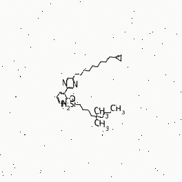 CCCCC(C)(C)CCCC[SiH2]Oc1ncccc1-c1cnc(CCCCCCCCCC2CC2)cn1